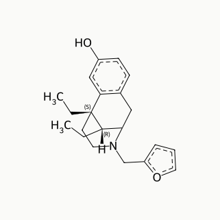 CC[C@H]1C2Cc3ccc(O)cc3[C@@]1(CC)CCN2Cc1ccco1